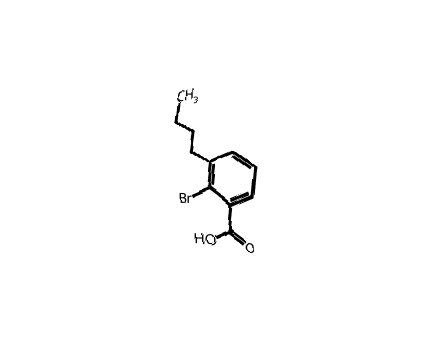 CCCCc1cccc(C(=O)O)c1Br